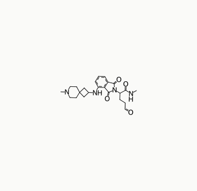 CNC(=O)C(CCC=O)N1C(=O)c2cccc(NC3CC4(CCN(C)CC4)C3)c2C1=O